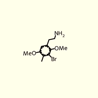 COc1cc(CCN)c(OC)c(Br)c1C